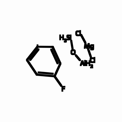 Fc1cc[c]cc1.[AlH2][O][SiH3].[Cl][Mg][Cl]